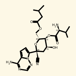 CC(C)CC(=O)OC[C@H]1O[C@@](C#N)(c2ccc3c(N)ncnn23)C[C@H](O)[C@@H]1OC(=O)[C@@H](N)C(C)C